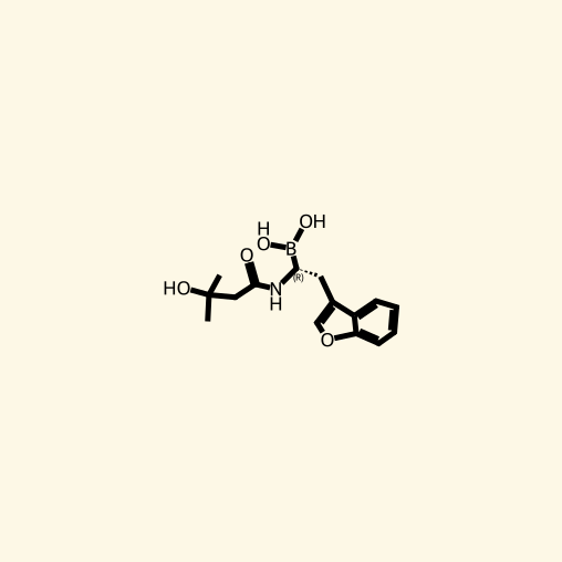 CC(C)(O)CC(=O)N[C@@H](Cc1coc2ccccc12)B(O)O